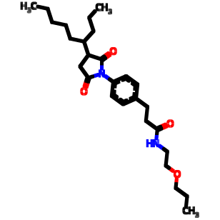 CCCCCC(CCC)C1CC(=O)N(c2ccc(CCC(=O)NCCOCCC)cc2)C1=O